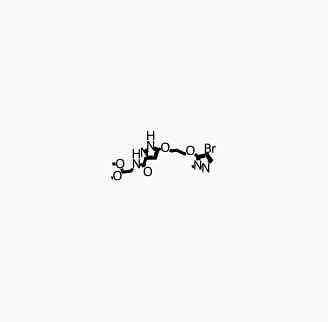 COC(CNC(=O)c1cc(OCCCOc2c(Br)cnn2C)[nH]n1)OC